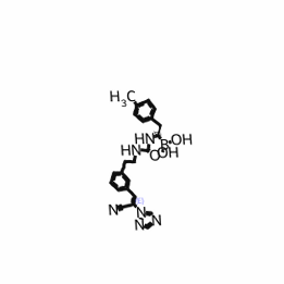 Cc1ccc(C[C@H](NC(=O)NCCc2cccc(/C=C(\C#N)n3cncn3)c2)B(O)O)cc1